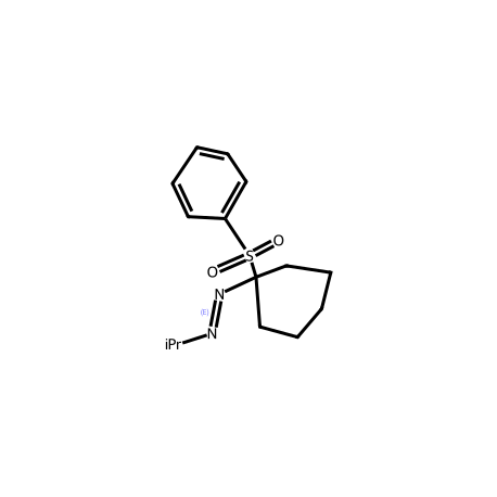 CC(C)/N=N/C1(S(=O)(=O)c2ccccc2)CCCCC1